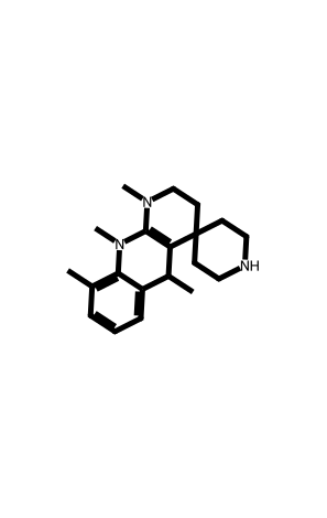 Cc1cccc2c1N(C)C1=C(C2C)C2(CCNCC2)CCN1C